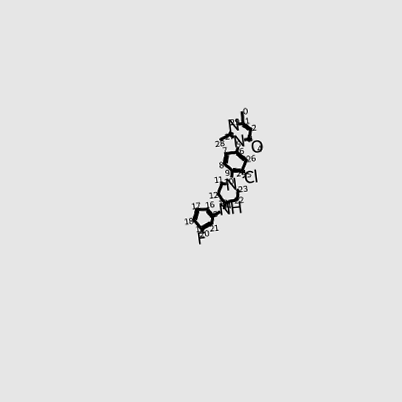 Cc1cc(=O)n(-c2ccc(N3CCC(Nc4cccc(F)c4)CC3)c(Cl)c2)c(C)n1